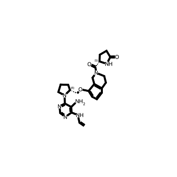 C=CNc1ncnc(N2CCC[C@@H]2COc2cccc3c2CN(C(=O)[C@@H]2CCC(=O)N2)CC3)c1N